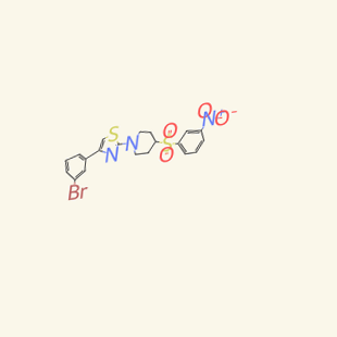 O=[N+]([O-])c1cccc(S(=O)(=O)C2CCN(c3nc(-c4cccc(Br)c4)cs3)CC2)c1